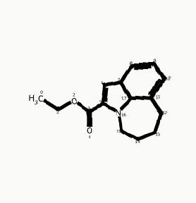 CCOC(=O)C1=CC2C=CC=C3CCCCN1C32